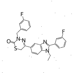 CCn1c(-c2cccc(F)c2)nc2cc(C3=NN(Cc4cccc(F)c4)C(=O)SC3)ccc21